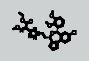 CCOC(=O)/C(=N\OC)c1nnn(CC[C@H]2O[C@H](c3cccc(OC)c3OC)c3cc(Cl)ccc3-n3cccc32)n1